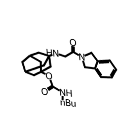 CCCCNC(=O)OC12CC3CC(CC(NCC(=O)N4Cc5ccccc5C4)(C3)C1)C2